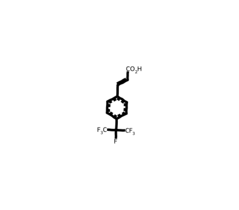 O=C(O)C=Cc1ccc(C(F)(C(F)(F)F)C(F)(F)F)cc1